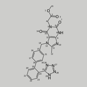 COC(=O)Cn1c(=O)[nH]c2nc(C)n(Cc3ccc(-c4ccccc4-c4nnn[nH]4)cc3)c2c1=O